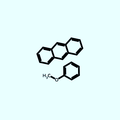 COc1ccccc1.c1ccc2cc3ccccc3cc2c1